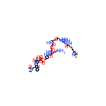 CC[C@@]1(OC(=O)OCc2ccc(NC(=O)[C@H](CCCCN)NC(=O)COCC(=O)NC(C)(C)CCOC(C)(C)CCN(N)/C=C(\N)CNC(=O)CCCC#Cc3cnc(SC)nc3)cc2)C(=O)OCc2c1cc1n(c2=O)Cc2c-1nc1ccccc1c2CCN(C(C)=O)C(C)C